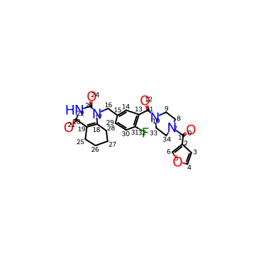 O=C(c1ccoc1)N1CCN(C(=O)c2cc(Cn3c4c(c(=O)[nH]c3=O)CCCC4)ccc2F)CC1